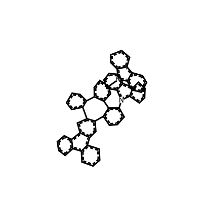 c1ccc2c(c1)-c1cc3c4ccccc4c4ccccc4c3cc1-c1cccc(-n3c4ccccc4c4ccccc43)c1-c1cc(-n3c4ccccc4c4ccccc43)ccc1-2